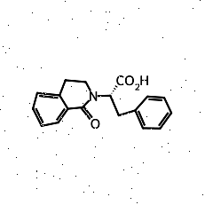 O=C(O)[C@H](Cc1ccccc1)N1CCc2ccccc2C1=O